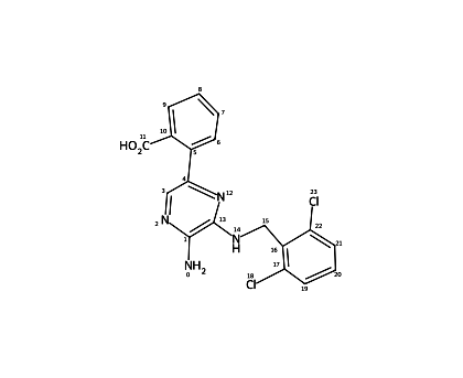 Nc1ncc(-c2ccccc2C(=O)O)nc1NCc1c(Cl)cccc1Cl